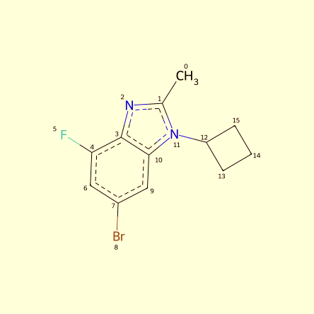 Cc1nc2c(F)cc(Br)cc2n1C1CCC1